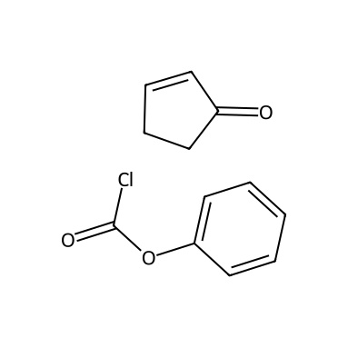 O=C(Cl)Oc1ccccc1.O=C1C=CCC1